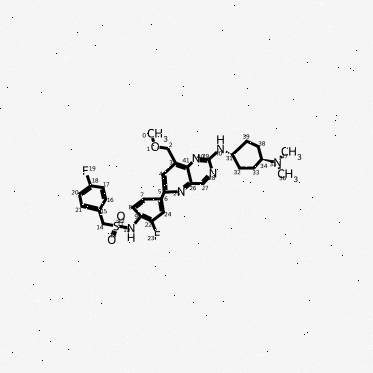 COCc1cc(-c2ccc(NS(=O)(=O)Cc3ccc(F)cc3)c(F)c2)nc2cnc(N[C@H]3CC[C@H](N(C)C)CC3)nc12